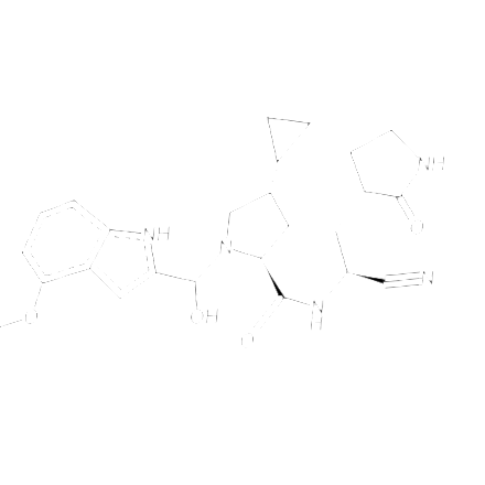 COc1cccc2[nH]c(C(O)N3C[C@H](C4CC4)C[C@H]3C(=O)N[C@H](C#N)C[C@@H]3CCNC3=O)cc12